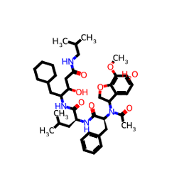 COc1cccc2c1OCC2N(C(C)=O)[C@@H](Cc1ccccc1)C(=O)N[C@@H](CC(C)C)C(=O)NC(CC1CCCCC1)C(O)CC(=O)NCC(C)C.O